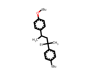 CCC(C)(CC(C)c1ccc(OC(C)(C)C)cc1)c1ccc(C(C)(C)C)cc1